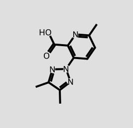 Cc1ccc(-n2nc(C)c(C)n2)c(C(=O)O)n1